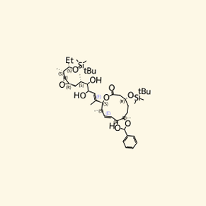 CC[C@H](O[Si](C)(C)C(C)(C)C)[C@@H](C)[C@H]1O[C@@H]1C[C@H](C)C(O)C(O)/C=C(\C)[C@H]1OC(=O)C[C@H](O[Si](C)(C)C(C)(C)C)CC[C@@]2(C)OC(c3ccccc3)O[C@H]2/C=C/[C@@H]1C